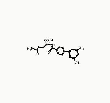 Cc1cc(C)cc(-c2ccc(C(=O)N[C@@H](CCC(N)=O)C(=O)O)cc2)c1